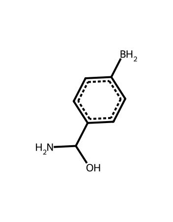 Bc1ccc(C(N)O)cc1